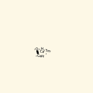 [CaH2].[O]=[GaH].[Tm]